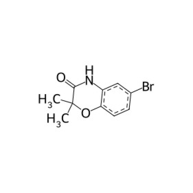 CC1(C)Oc2ccc(Br)cc2NC1=O